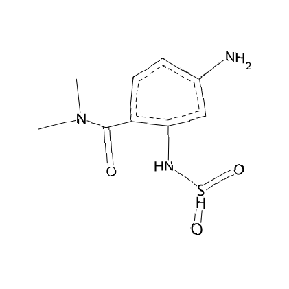 CN(C)C(=O)c1ccc(N)cc1N[SH](=O)=O